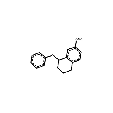 COc1ccc2c(c1)C(Sc1ccncc1)CCC2